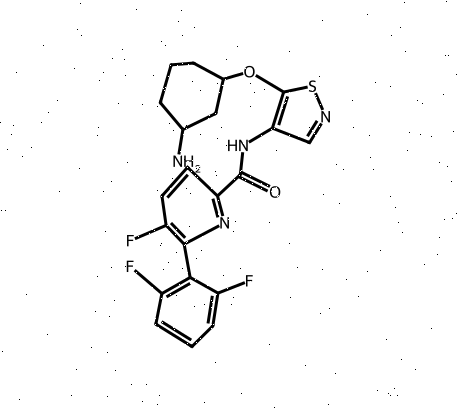 NC1CCCC(Oc2sncc2NC(=O)c2ccc(F)c(-c3c(F)cccc3F)n2)C1